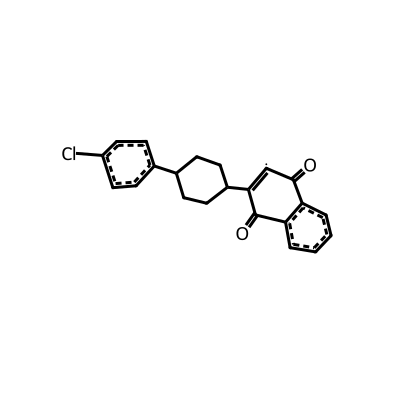 O=C1[C]=C(C2CCC(c3ccc(Cl)cc3)CC2)C(=O)c2ccccc21